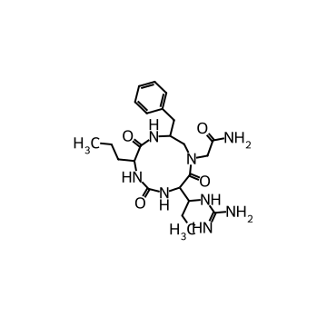 CCCC1NC(=O)NC(C(CC)NC(=N)N)C(=O)N(CC(N)=O)CC(Cc2ccccc2)NC1=O